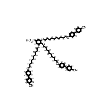 N#Cc1ccc(-c2ccc(OCCCCCCCCCCOc3cc(C(=O)O)cc(OCCCCCCCCCCOc4ccc(-c5ccc(C#N)cc5)cc4)c3OCCCCCCCCCCOc3ccc(-c4ccc(C#N)cc4)cc3)cc2)cc1